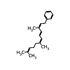 CC(C)=CCCC(C)=CC=CC(C)=C[CH]c1ccccc1